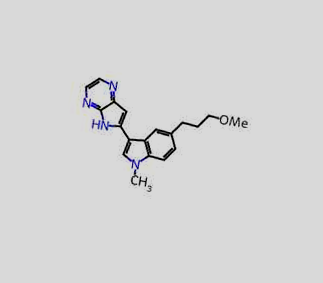 COCCCc1ccc2c(c1)c(-c1cc3nccnc3[nH]1)cn2C